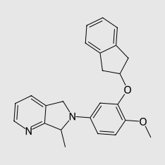 COc1ccc(N2Cc3cccnc3C2C)cc1OC1Cc2ccccc2C1